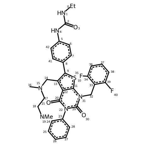 CCNC(=O)Nc1ccc(-c2sc3c(c2CN(C)CCNC)c(=O)n(-c2ccccc2)c(=O)n3Cc2c(F)cccc2F)cc1